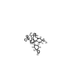 CCOn1c([N+](=O)[O-])nc(-c2ccc(OC)cc2)c1C1C=CC(OC)=CC1=C=O